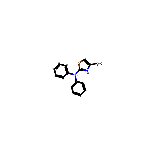 O=Cc1csc(N(c2ccccc2)c2ccccc2)n1